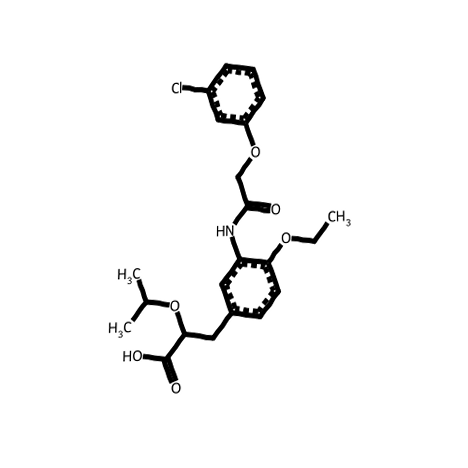 CCOc1ccc(CC(OC(C)C)C(=O)O)cc1NC(=O)COc1cccc(Cl)c1